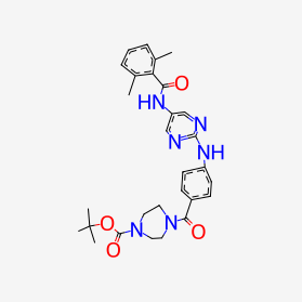 Cc1cccc(C)c1C(=O)Nc1cnc(Nc2ccc(C(=O)N3CCN(C(=O)OC(C)(C)C)CC3)cc2)nc1